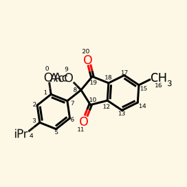 CC(=O)Oc1cc(C(C)C)ccc1C1(OC(C)=O)C(=O)c2ccc(C)cc2C1=O